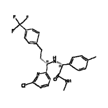 CNC(=O)[C@H](N[C@@H](CCc1ccc(C(F)(F)F)cc1)c1cccc(Cl)n1)c1ccc(C)cc1